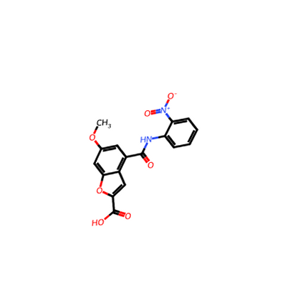 COc1cc(C(=O)Nc2ccccc2[N+](=O)[O-])c2cc(C(=O)O)oc2c1